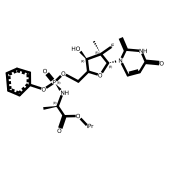 C=C1NC(=O)C=CN1[C@@H]1OC(CO[P@](=O)(N[C@H](C)C(=O)OC(C)C)Oc2ccccc2)[C@@H](O)[C@@]1(C)F